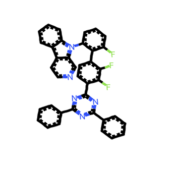 Fc1cccc(-n2c3ccccc3c3ccncc32)c1-c1ccc(-c2nc(-c3ccccc3)nc(-c3ccccc3)n2)c(F)c1F